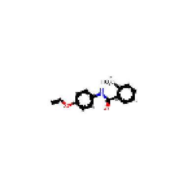 C=COc1ccc(NC(=O)c2ccccc2C(=O)O)cc1